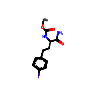 CC(C)(C)OC(=O)N[C@H](CCc1ccc(I)cc1)C(N)=O